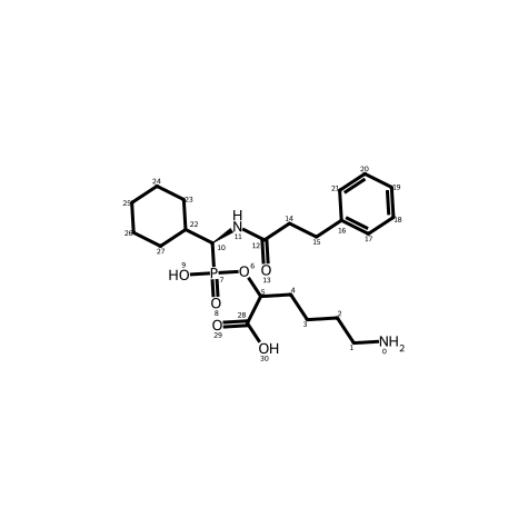 NCCCCC(OP(=O)(O)[C@H](NC(=O)CCc1ccccc1)C1CCCCC1)C(=O)O